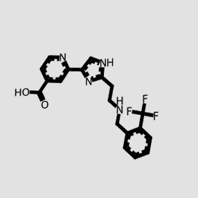 O=C(O)c1ccnc(-c2c[nH]c(CCNCc3ccccc3C(F)(F)F)n2)c1